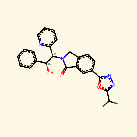 O=C1c2cc(-c3nnc(C(F)F)o3)ccc2CN1[C@H](c1ccccn1)[C@@H](O)c1ccccc1